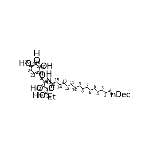 CCCCCCCCCCCCCCCCCCCCCCCCCC(=O)NC(COC1CCC(O)C(O)C1O)C(O)CC(O)CC